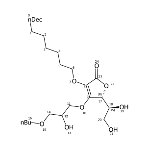 CCCCCCCCCCCCCCCCOC1=C(OCC(O)COCCCC)[C@@H]([C@@H](O)CO)OC1=O